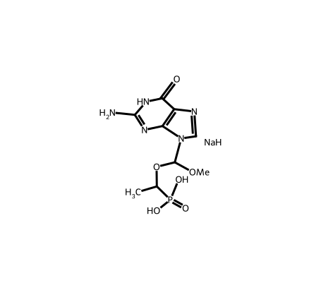 COC(OC(C)P(=O)(O)O)n1cnc2c(=O)[nH]c(N)nc21.[NaH]